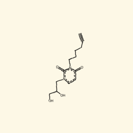 C#CCCCCn1c(=O)ccn(CC(O)CO)c1=O